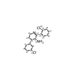 Nc1c(-c2cc[c]c(Cl)c2)ccnc1-c1ccccc1Cl